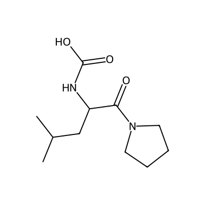 CC(C)CC(NC(=O)O)C(=O)N1CCCC1